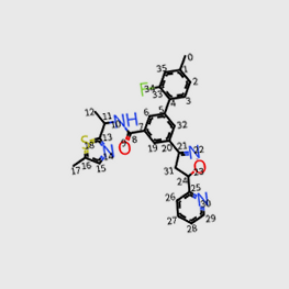 Cc1ccc(-c2cc(C(=O)NC(C)c3ncc(C)s3)cc(C3=NOC(c4ccccn4)C3)c2)c(F)c1